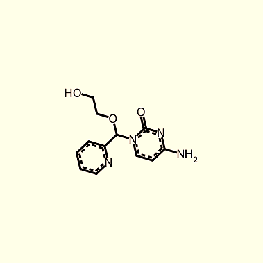 Nc1ccn(C(OCCO)c2ccccn2)c(=O)n1